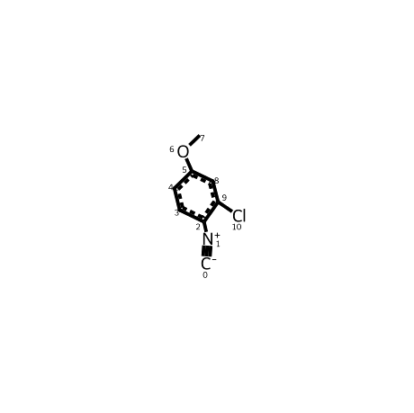 [C-]#[N+]c1ccc(OC)cc1Cl